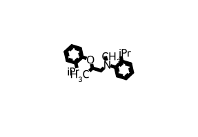 CC(CN(C)c1ccccc1C(C)C)Oc1ccccc1C(C)C